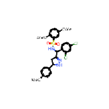 COc1ccc(C2CC(C(NS(=O)(=O)c3cc(OC)ccc3OC)c3ccc(Cl)cc3Cl)=NN2)cc1